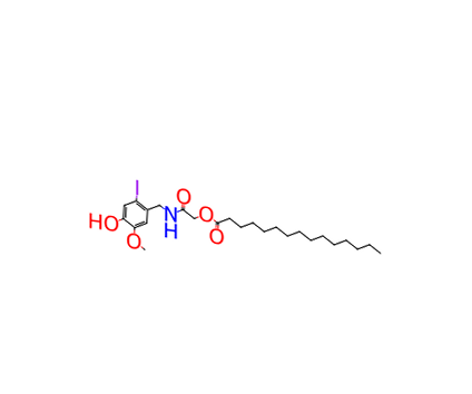 CCCCCCCCCCCCCCC(=O)OCC(=O)NCc1cc(OC)c(O)cc1I